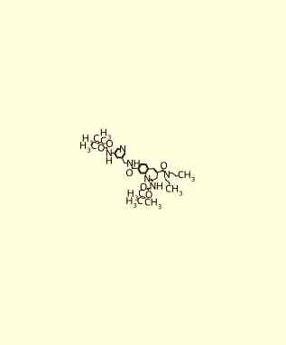 CCCN(CCC)C(=O)C1=Cc2ccc(C(=O)NCc3cncc(NC(=O)OC(C)(C)C)c3)cc2N=C(NC(=O)OC(C)(C)C)C1